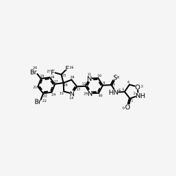 O=C1NOCC1NC(=S)c1cnc(C2=NCC(c3cc(Br)cc(Br)c3)(C(F)F)C2)nc1